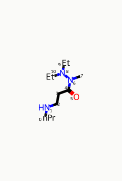 CCCNCCC(=O)N(C)N(CC)CC